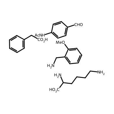 CC(=O)Nc1ccc(C=O)cc1.COc1ccccc1CN.NCCCCC(N)C(=O)O.O=C(O)Cc1ccccc1